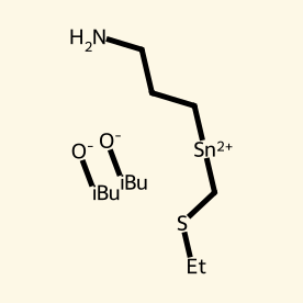 CCC(C)[O-].CCC(C)[O-].CCS[CH2][Sn+2][CH2]CCN